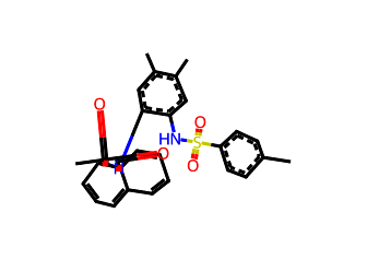 Cc1ccc(S(=O)(=O)Nc2cc(C)c(C)cc2N2C(=O)CC3C=CC=C4C=CC=CC43C2=O)cc1